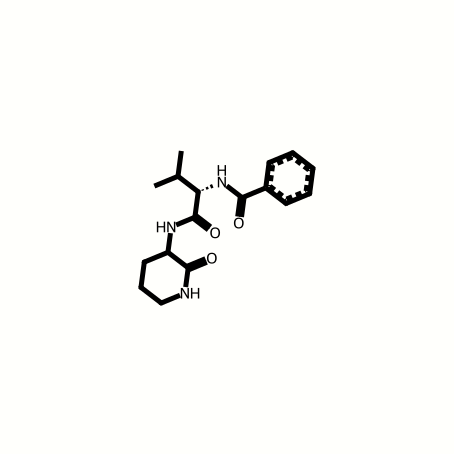 CC(C)[C@H](NC(=O)c1ccccc1)C(=O)NC1CCCNC1=O